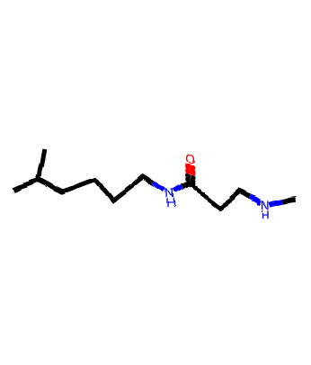 CNCCC(=O)NCCCCC(C)C